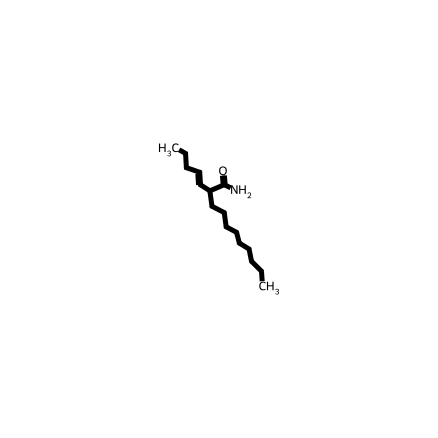 CCCC=CC(CCCCCCCCC)C(N)=O